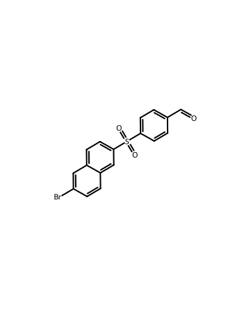 O=Cc1ccc(S(=O)(=O)c2ccc3cc(Br)ccc3c2)cc1